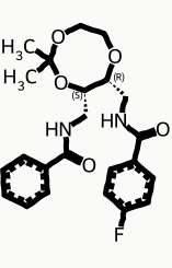 CC1(C)OCCO[C@H](CNC(=O)c2ccc(F)cc2)[C@H](CNC(=O)c2ccccc2)O1